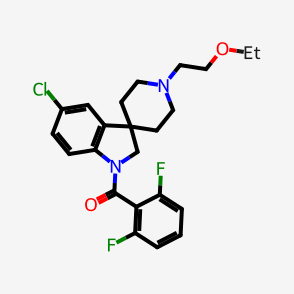 CCOCCN1CCC2(CC1)CN(C(=O)c1c(F)cccc1F)c1ccc(Cl)cc12